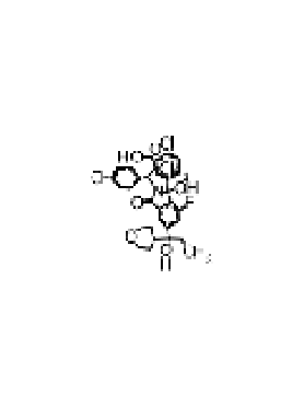 CCC(O)(c1cc(F)c2c(c1)C(=O)N(C(c1ccc(Cl)cc1)C(C)C(=O)O)C2(O)c1ccc(Cl)cc1)C1CCOCC1